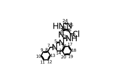 ClC1NC(N=CN(Cc2ccccc2)Cc2ccccc2)=Nc2[nH]cnc21